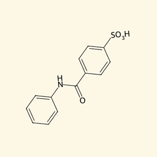 O=C(Nc1ccccc1)c1ccc(S(=O)(=O)O)cc1